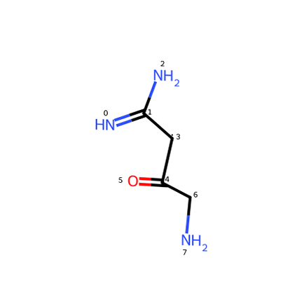 N=C(N)[CH]C(=O)CN